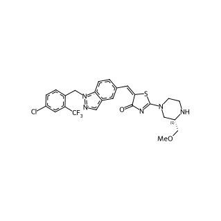 COC[C@@H]1CN(C2=NC(=O)C(=Cc3ccc4c(cnn4Cc4ccc(Cl)cc4C(F)(F)F)c3)S2)CCN1